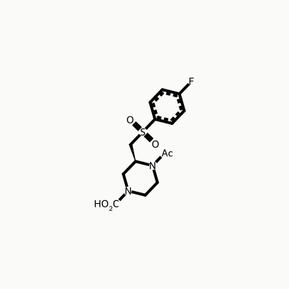 CC(=O)N1CCN(C(=O)O)C[C@H]1CS(=O)(=O)c1ccc(F)cc1